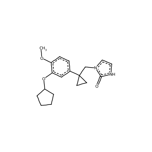 COc1ccc(C2(Cn3cc[nH]c3=O)CC2)cc1OC1CCCC1